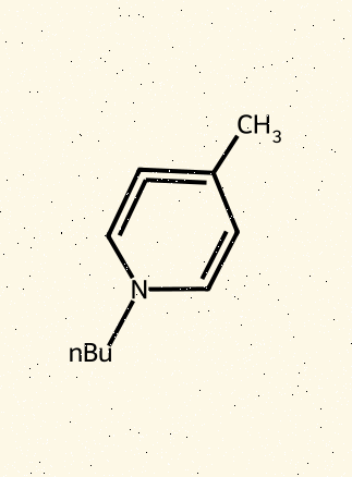 CCCCN1C=C=C(C)C=C1